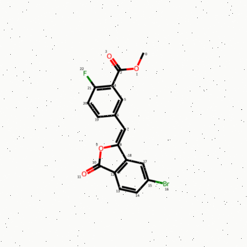 COC(=O)c1cc(C=C2OC(=O)c3ccc(Br)cc32)ccc1F